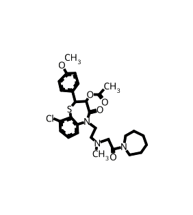 COc1ccc(C2Sc3c(Cl)cccc3N(CCN(C)CC(=O)N3CCCCCC3)C(=O)C2OC(C)=O)cc1